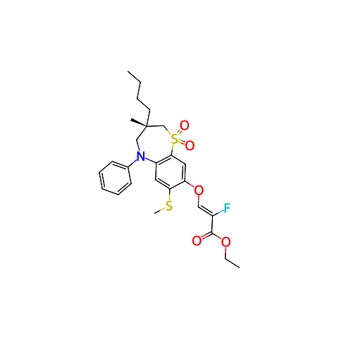 CCCC[C@@]1(C)CN(c2ccccc2)c2cc(SC)c(O/C=C(\F)C(=O)OCC)cc2S(=O)(=O)C1